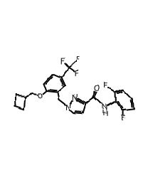 O=C(Nc1c(F)cccc1F)c1ccn(Cc2cc(C(F)(F)F)ccc2OCC2CCC2)n1